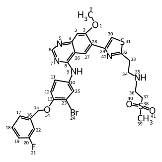 COc1cc2ncnc(Nc3ccc(OCc4cccc(F)c4)c(Br)c3)c2cc1-c1csc(CCNCCS(C)(=O)=O)n1